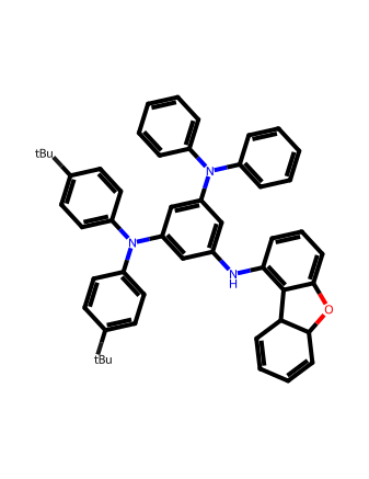 CC(C)(C)c1ccc(N(c2ccc(C(C)(C)C)cc2)c2cc(Nc3cccc4c3C3C=CC=CC3O4)cc(N(c3ccccc3)c3ccccc3)c2)cc1